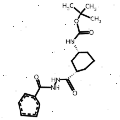 CC(C)(C)OC(=O)N[C@@H]1CCC[C@H](C(=O)NNC(=O)c2ccccc2)C1